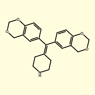 c1cc2c(cc1C(=C1CCNCC1)c1ccc3c(c1)COCO3)COCO2